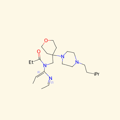 C/C=N\C(=C/C)N(CC1(N2CCN(CCC(C)C)CC2)CCOCC1)C(=O)CC